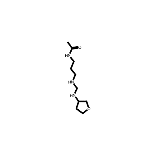 CC(=O)NCCCNCNC1CCOC1